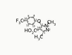 Cc1nn(C)c(Oc2ccc(C(F)(F)F)cc2)c1C(=O)O